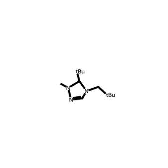 CN1N=CN(CC(C)(C)C)C1C(C)(C)C